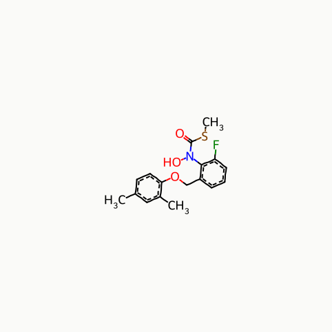 CSC(=O)N(O)c1c(F)cccc1COc1ccc(C)cc1C